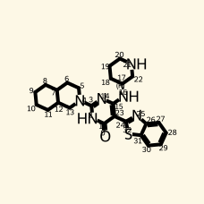 O=c1[nH]c(N2CCC3CCCCC3C2)nc(N[C@@H]2CCCNC2)c1-c1nc2ccccc2s1